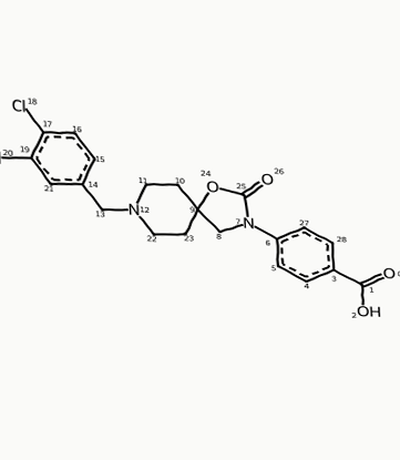 O=C(O)c1ccc(N2CC3(CCN(Cc4ccc(Cl)c(Cl)c4)CC3)OC2=O)cc1